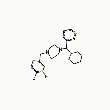 Fc1ccc(CN2CCN(C(c3ccccc3)C3CCCCC3)CC2)cc1F